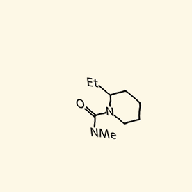 CCC1CCCCN1C(=O)NC